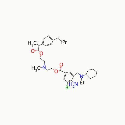 CCN(Cc1cc(C(=O)OCCN(C)CCOC(=O)C(C)c2ccc(CC(C)C)cc2)cc(Br)c1N)C1CCCCC1